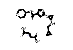 O=C(NC1CCOCC1)c1csc([C@@H]2C[C@H]2NCC2CC2)c1.O=C(O)/C=C/C(=O)O